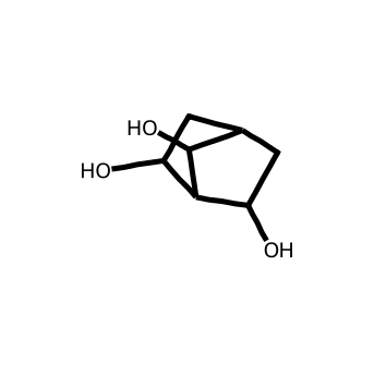 OC1CC2CC(O)C1C2O